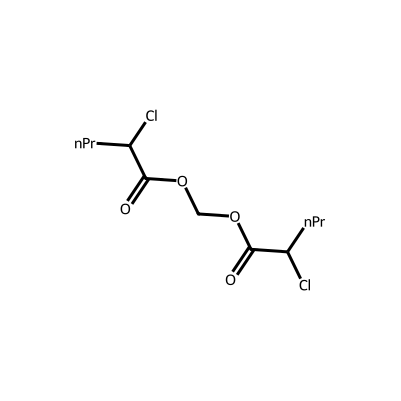 CCCC(Cl)C(=O)OCOC(=O)C(Cl)CCC